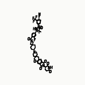 CC1(C)C(=O)[SH](c2ccc(C#N)c(C(F)(F)F)c2)NN1c1ccc(C(=O)N2CC3(CCC(N4CCC5(CC4)COc4cc6c(cc4C5)C(=O)N(C4CCC(=O)NC4=O)C6=O)CC3)C2)c(F)c1